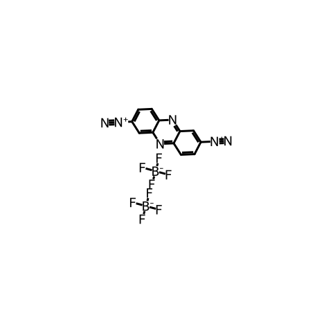 F[B-](F)(F)F.F[B-](F)(F)F.N#[N+]c1ccc2nc3cc([N+]#N)ccc3nc2c1